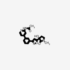 CC(=O)Nc1cc(-c2cccc(-c3cc(C4(O)CCN(C)C4=O)on3)c2)ccn1